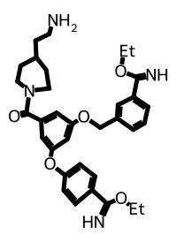 CCOC(=N)c1ccc(Oc2cc(OCc3cccc(C(=N)OCC)c3)cc(C(=O)N3CCC(CCN)CC3)c2)cc1